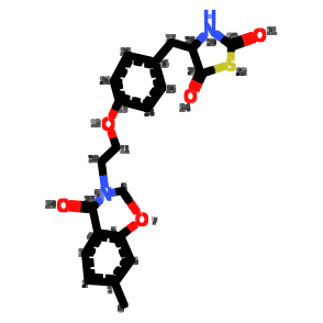 Cc1ccc2c(c1)OCN(CCOc1ccc(CC3NC(=O)SC3=O)cc1)C2=O